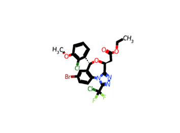 CCOC(=O)C[C@@H]1O[C@@H](c2cccc(OC)c2Cl)c2cc(Br)ccc2-n2c1nnc2C(F)(F)Cl